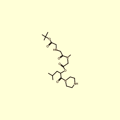 CC(C)CC(OC(=O)CN(C)C(=O)CNCC(=O)OC(C)(C)C)C(=O)N1CCNCC1